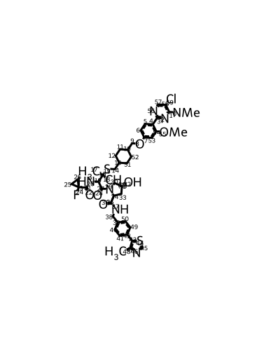 CNc1nc(-c2ccc(OCC3CCC(CSC(C)(C)C(NC(=O)C4(F)CC4)C(=O)N4C[C@H](O)CC4C(=O)NCc4ccc(-c5scnc5C)cc4)CC3)cc2OC)ncc1Cl